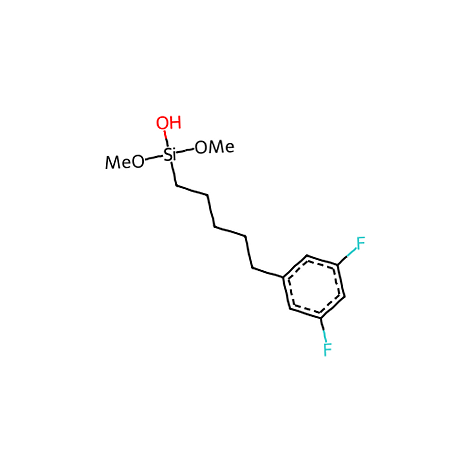 CO[Si](O)(CCCCCc1cc(F)cc(F)c1)OC